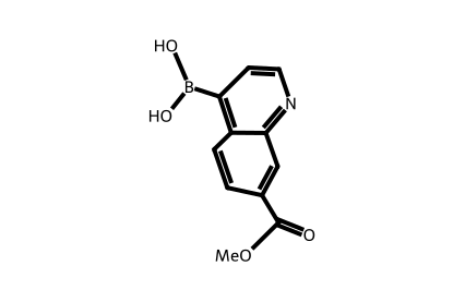 COC(=O)c1ccc2c(B(O)O)ccnc2c1